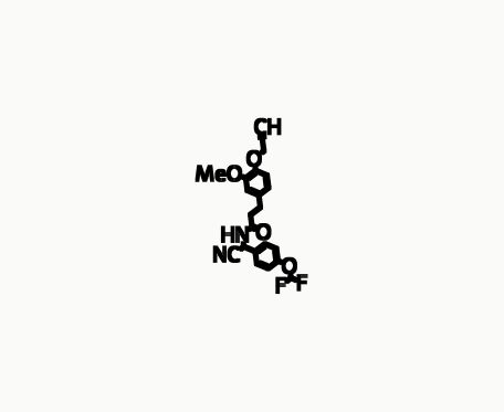 C#CCOc1ccc(CCC(=O)NC(C#N)c2ccc(OC(F)F)cc2)cc1OC